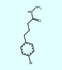 NNC(=O)CCCc1ccc(Br)cc1